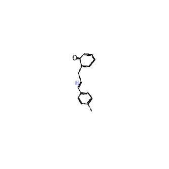 Cc1ccc(/C=C/CC2CCC=CC2=O)cc1